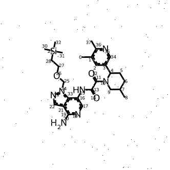 Cc1cc(C2CCC(C)CN2C(=O)C(=O)Nc2cnc(N)c3cnn(COCC[Si](C)(C)C)c23)cnc1C